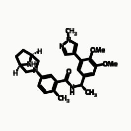 COc1cc([C@@H](C)NC(=O)c2cc(N3C[C@H]4CC[C@@H](C3)N4)ccc2C)cc(-c2cnn(C)c2)c1OC